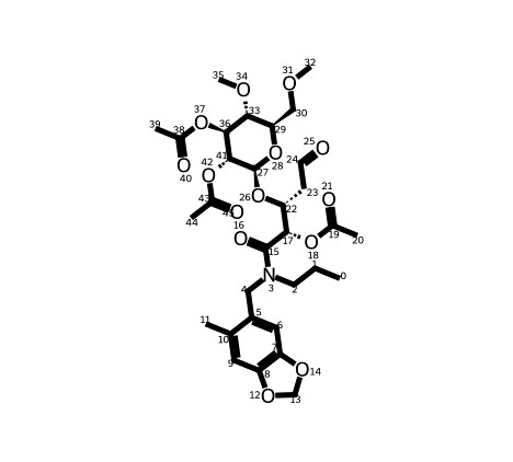 CCCN(Cc1cc2c(cc1C)OCO2)C(=O)[C@@H](OC(C)=O)[C@@H](CC=O)O[C@@H]1O[C@H](COC)[C@@H](OC)[C@H](OC(C)=O)[C@H]1OC(C)=O